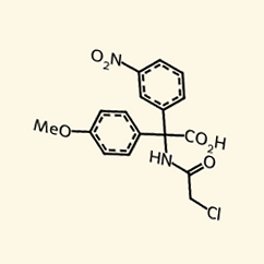 COc1ccc(C(NC(=O)CCl)(C(=O)O)c2cccc([N+](=O)[O-])c2)cc1